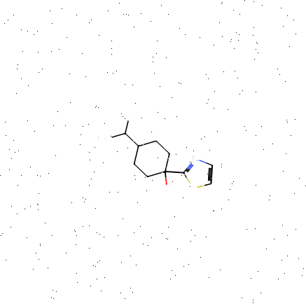 CC(C)C1CCC(O)(c2nccs2)CC1